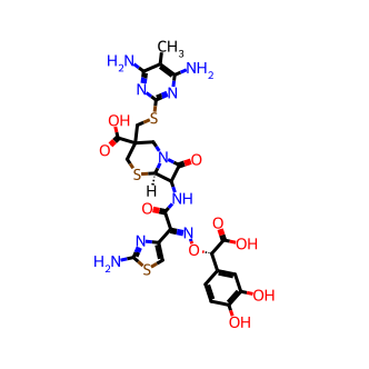 Cc1c(N)nc(SCC2(C(=O)O)CS[C@@H]3C(NC(=O)C(=NO[C@H](C(=O)O)c4ccc(O)c(O)c4)c4csc(N)n4)C(=O)N3C2)nc1N